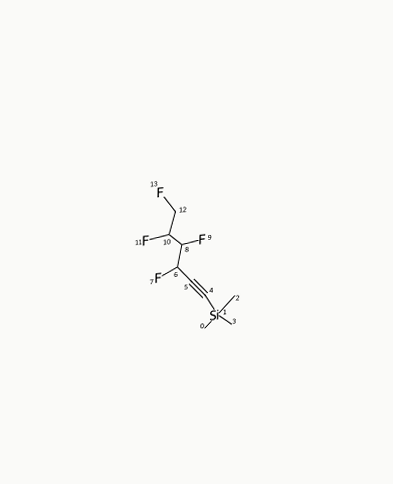 C[Si](C)(C)C#CC(F)C(F)C(F)CF